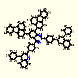 c1ccc(-c2cc(-c3ccc(-c4nc(-c5ccc(-c6cc(-c7ccccc7)c7ccccc7n6)cc5)c5cc(-c6ccc7c8c(cccc68)-c6ccccc6-7)cc(-c6ccc7c8c(cccc68)-c6ccccc6-7)c5n4)cc3)cc3ccccc23)cc1